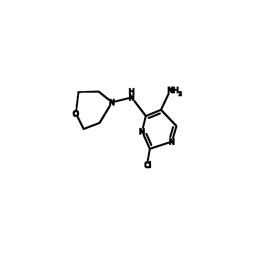 Nc1cnc(Cl)nc1NN1CCOCC1